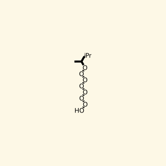 CC(C)C(C)OOOOOOOO